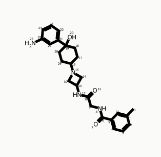 Cc1cccc(C(=O)NCC(=O)NC2CN(C3CCC(O)(c4cccc(N)c4)CC3)C2)c1